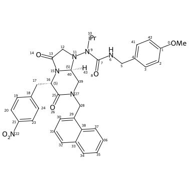 COc1ccc(CNC(=O)N(C(C)C)N2CC(=O)N3[C@@H](Cc4ccc([N+](=O)[O-])cc4)C(=O)N(Cc4cccc5ccccc45)C[C@@H]32)cc1